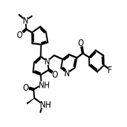 CN[C@@H](C)C(=O)Nc1ccc(-c2cccc(C(=O)N(C)C)c2)n(Cc2cncc(C(=O)c3ccc(F)cc3)c2)c1=O